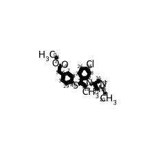 CCOC(=O)Cc1ccc(Sc2c(C)n(-c3cnn(CC)c3)c3cc(Cl)ccc23)cc1